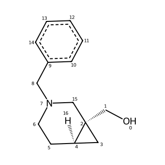 OC[C@]12C[C@H]1CCN(Cc1ccccc1)C2